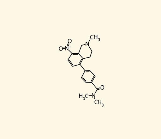 CN1CCc2c(-c3ccc(C(=O)N(C)C)cc3)ccc([N+](=O)[O-])c2C1